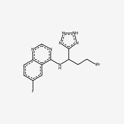 CC(C)CCC(Nc1ncnc2ccc(F)cc12)c1nn[nH]n1